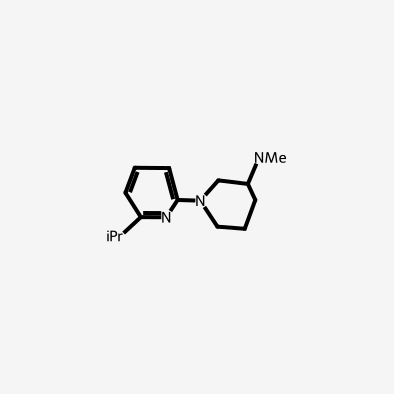 CNC1CCCN(c2cccc(C(C)C)n2)C1